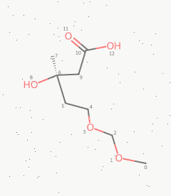 COCOCC[C@@](C)(O)CC(=O)O